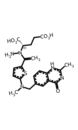 C=C(c1ccc(N(C)Cc2ccc3[nH]c(C)nc(=O)c3c2)s1)N(N)[C@@H](CCC(=O)O)C(=O)O